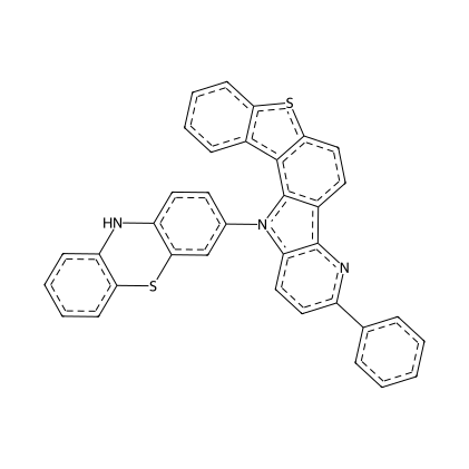 c1ccc(-c2ccc3c(n2)c2ccc4sc5ccccc5c4c2n3-c2ccc3c(c2)Sc2ccccc2N3)cc1